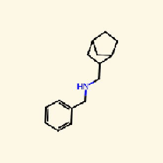 c1ccc(CNCC2CC3CCC2C3)cc1